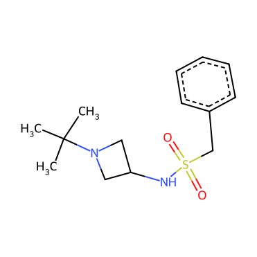 CC(C)(C)N1CC(NS(=O)(=O)Cc2ccccc2)C1